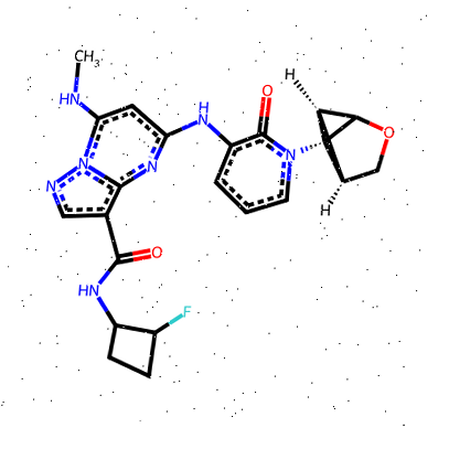 CNc1cc(Nc2cccn([C@]34C5OC[C@@H]3[C@H]54)c2=O)nc2c(C(=O)NC3CCC3F)cnn12